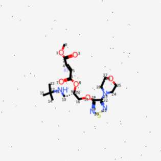 COC(=O)/C=C/C(=O)O[C@@H](CNC(C)(C)C)COc1nsnc1N1CCOCC1